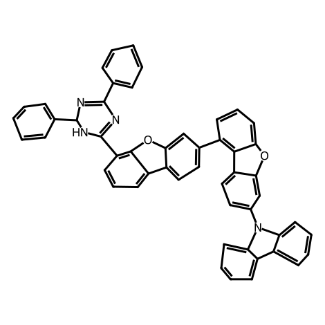 c1ccc(C2=NC(c3ccccc3)NC(c3cccc4c3oc3cc(-c5cccc6oc7cc(-n8c9ccccc9c9ccccc98)ccc7c56)ccc34)=N2)cc1